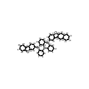 c1ccc2c(c1)B1c3ccccc3N(c3ccc4oc5cc6ccccc6cc5c4c3)c3cccc(c31)N2c1ccc2c(c1)oc1ccccc12